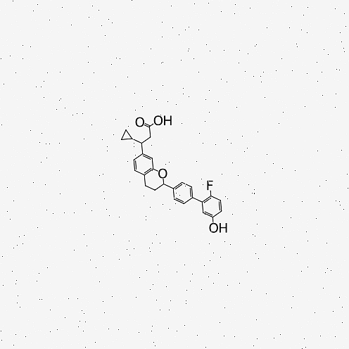 O=C(O)CC(c1ccc2c(c1)OC(c1ccc(-c3cc(O)ccc3F)cc1)CC2)C1CC1